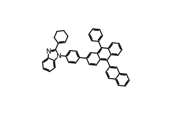 C1=C(c2nc3ccccc3n2-c2ccc(-c3ccc4c(-c5ccc6ccccc6c5)c5ccccc5c(-c5ccccc5)c4c3)cc2)CCCC1